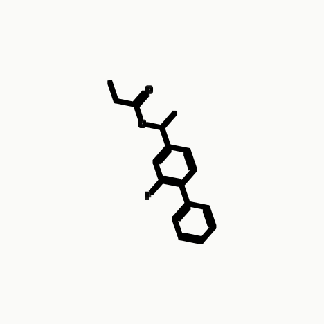 CCC(=O)OC(C)c1ccc(-c2ccccc2)c(F)c1